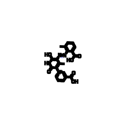 Cc1cccc(C(=O)O)c1/N=N/c1c(O)[nH]c(=O)c(-[n+]2cccc(C(=O)O)c2)c1C